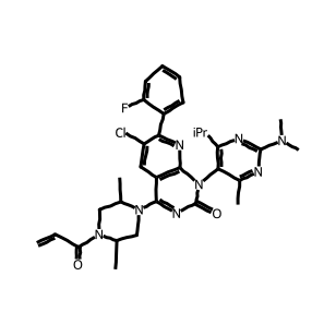 C=CC(=O)N1CC(C)N(c2nc(=O)n(-c3c(C)nc(N(C)C)nc3C(C)C)c3nc(-c4ccccc4F)c(Cl)cc23)CC1C